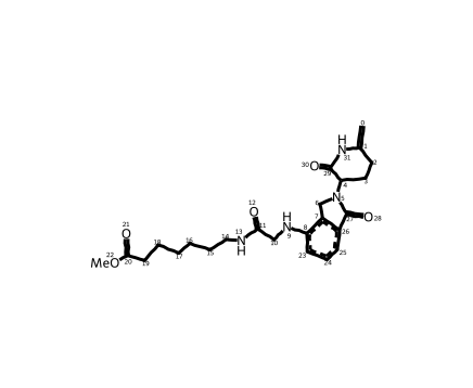 C=C1CCC(N2Cc3c(NCC(=O)NCCCCCCC(=O)OC)cccc3C2=O)C(=O)N1